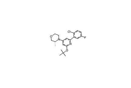 C[C@@H]1COCCN1c1cc(OC(C)(C)C)nc(-c2cc(F)ccc2Cl)c1